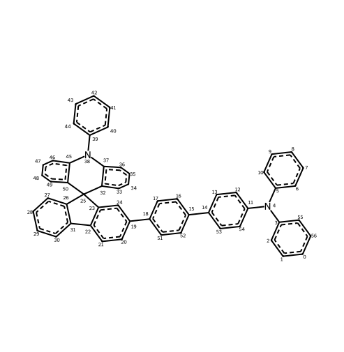 c1ccc(N(c2ccccc2)c2ccc(-c3ccc(-c4ccc5c(c4)C4(c6ccccc6-5)c5ccccc5N(c5ccccc5)c5ccccc54)cc3)cc2)cc1